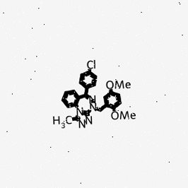 COc1ccc(OC)c(CN2N=C(c3ccc(Cl)cc3)c3ccccc3-n3c(C)nnc32)c1